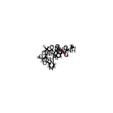 CCC12CC[C@H]3CN(C(=O)[C@@H](NC(=O)[C@@H](NC(=O)c4cnccn4)[C@@H](C)OC)C(C)(C)C)[C@H](C(=O)N[C@@H]1C(=O)C(=O)NC1CC1)[C@H]32